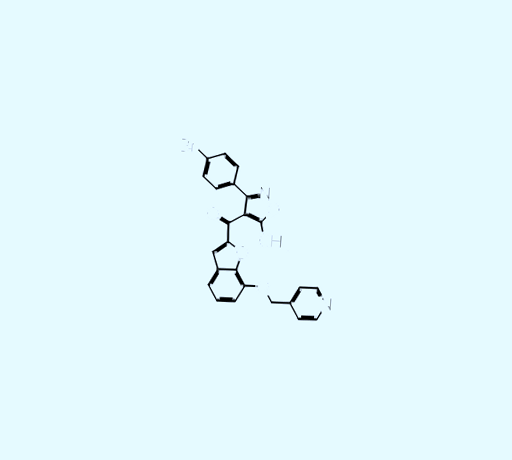 Cc1onc(-c2ccc(Br)cc2)c1C(=O)c1cc2cccc(OCc3ccncc3)c2o1